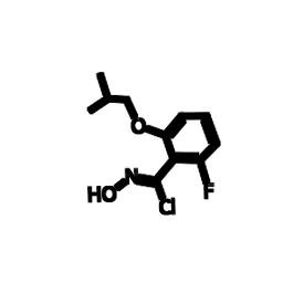 CC(C)COc1cccc(F)c1C(Cl)=NO